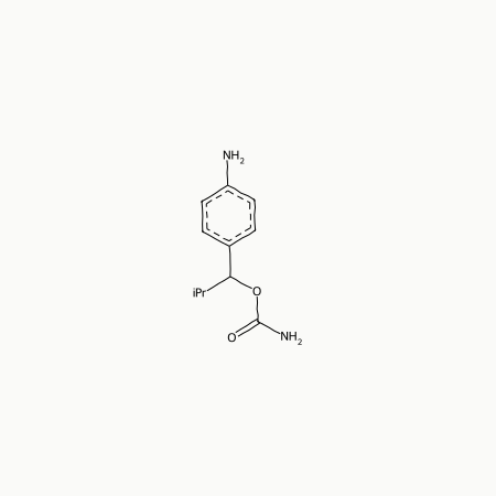 CC(C)C(OC(N)=O)c1ccc(N)cc1